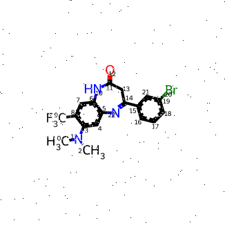 CN(C)c1cc2c(cc1C(F)(F)F)NC(=O)CC(c1cccc(Br)c1)=N2